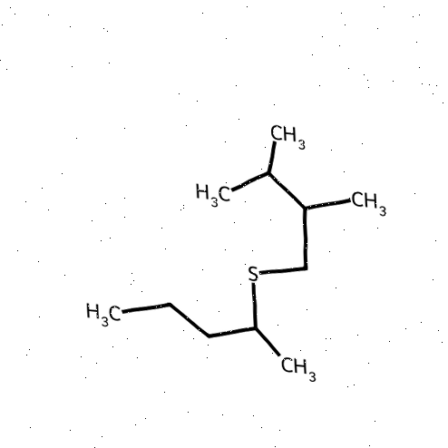 CCCC(C)SCC(C)C(C)C